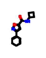 O=C(NC1CCC1)c1cc(C2=CCCC=C2)no1